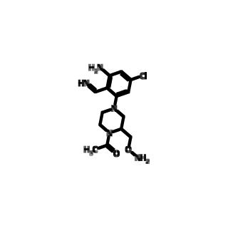 CC(=O)N1CCN(c2cc(Cl)cc(N)c2C=N)CC1CON